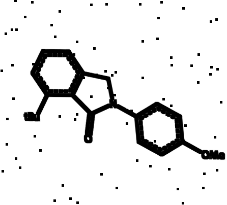 COc1ccc(N2Cc3cccc(C(C)(C)C)c3C2=O)cc1